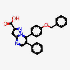 O=C(O)c1cc2ncc(-c3ccccc3)c(-c3ccc(OCc4ccccc4)cc3)n2n1